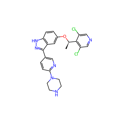 C[C@@H](Oc1ccc2[nH]nc(-c3ccc(N4CCNCC4)nc3)c2c1)c1c(Cl)cncc1Cl